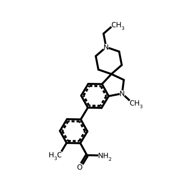 CCN1CCC2(CC1)CN(C)c1cc(-c3ccc(C)c(C(N)=O)c3)ccc12